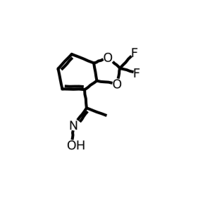 C/C(=N\O)C1=CC=CC2OC(F)(F)OC12